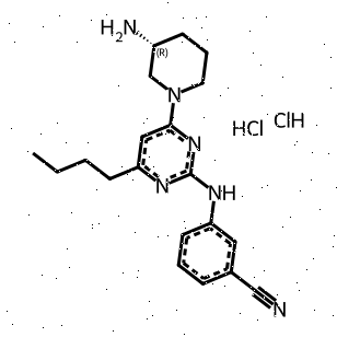 CCCCc1cc(N2CCC[C@@H](N)C2)nc(Nc2cccc(C#N)c2)n1.Cl.Cl